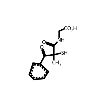 CC(S)(C(=O)NCC(=O)O)C(=O)c1ccccc1